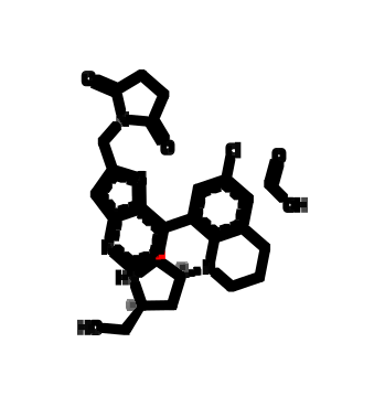 O=C1CCC(=O)N1Cc1cc2nccc(-c3cc(Cl)cc4c3N([C@H]3CN[C@H](CO)C3)CCC4)c2s1.O=CO